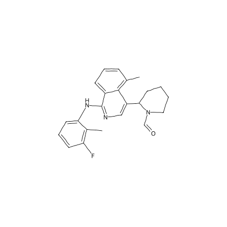 Cc1c(F)cccc1Nc1ncc(C2CCCCN2C=O)c2c(C)cccc12